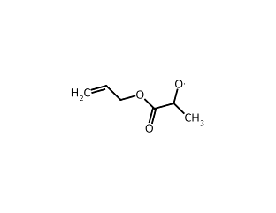 C=CCOC(=O)C(C)[O]